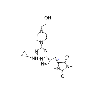 O=C1NC(=O)/C(=C/c2cnn3c(NC4CC4)nc(N4CCN(CCO)CC4)nc23)N1